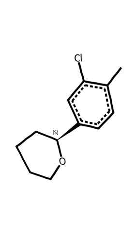 Cc1ccc([C@@H]2CCCCO2)cc1Cl